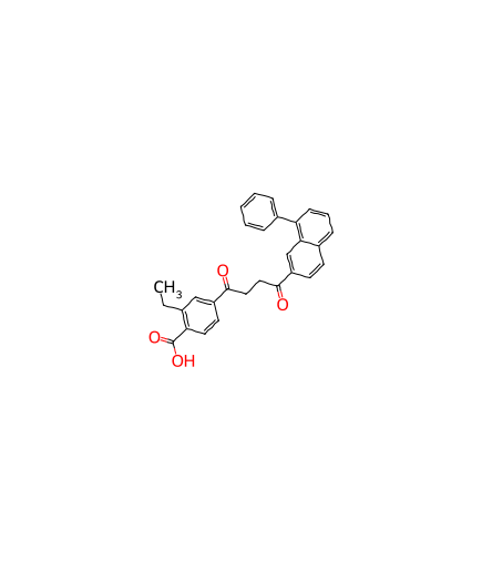 CCc1cc(C(=O)CCC(=O)c2ccc3cccc(-c4ccccc4)c3c2)ccc1C(=O)O